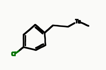 C[Te]CCc1ccc(Cl)cc1